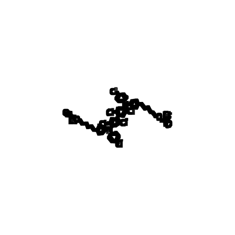 CCC1(COCCCCCCc2ccc(N(c3ccc(Cl)cc3)c3cc(Cl)c(-c4cc(Cl)c(N(c5ccc(Cl)cc5)c5ccc(CCCCCCOCC6(CC)COC6)cc5)cc4Cl)cc3Cl)cc2)COC1